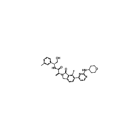 C=C(C(=O)N[C@H](CO)c1cccc(C)c1)N1Cc2ccc(-c3ccnc(NC4CCOCC4)n3)c(F)c2C1=O